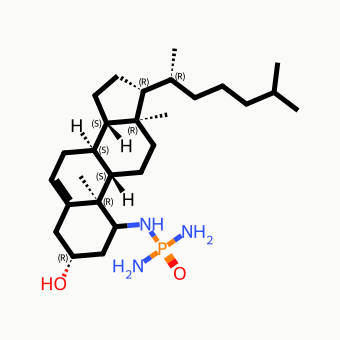 CC(C)CCC[C@@H](C)[C@H]1CC[C@H]2[C@@H]3CC=C4C[C@@H](O)CC(NP(N)(N)=O)[C@]4(C)[C@H]3CC[C@]12C